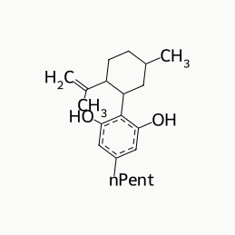 C=C(C)C1CCC(C)CC1c1c(O)cc(CCCCC)cc1O